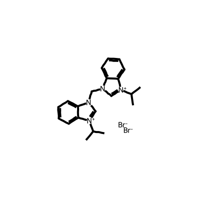 CC(C)[n+]1cn(Cn2c[n+](C(C)C)c3ccccc32)c2ccccc21.[Br-].[Br-]